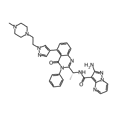 C[C@@H](NC(=O)c1c(N)nn2cccnc12)c1nc2cccc(-c3cnn(CCN4CCN(C)CC4)c3)c2c(=O)n1-c1ccccc1